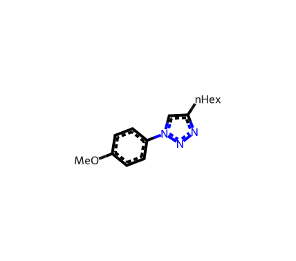 CCCCCCc1cn(-c2ccc(OC)cc2)nn1